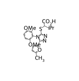 COc1cccc(OC)c1-n1c(SC(C(=O)O)C(C)C)nnc1-c1ccc(C)o1